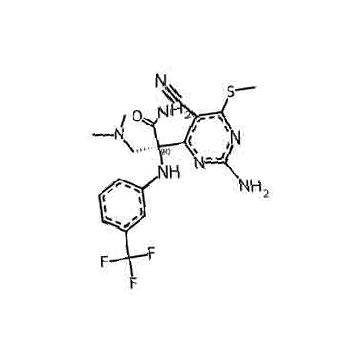 CSc1nc(N)nc([C@@](CN(C)C)(Nc2cccc(C(F)(F)F)c2)C(N)=O)c1C#N